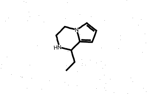 CCC1NCCn2cccc21